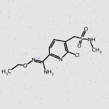 CCO/N=C(\N)c1ccc(CS(=O)(=O)NC)c(Cl)n1